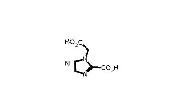 O=C(O)CN1CCN=C1C(=O)O.[Ni]